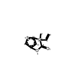 C=[C][Si]1(C)C(=O)Oc2csc1c2